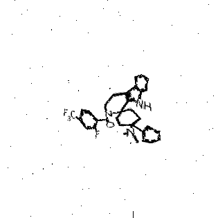 CN(C)C1(c2ccccc2)CCC2(CC1)c1[nH]c3ccccc3c1CCN2C(=O)c1ccc(C(F)(F)F)cc1F